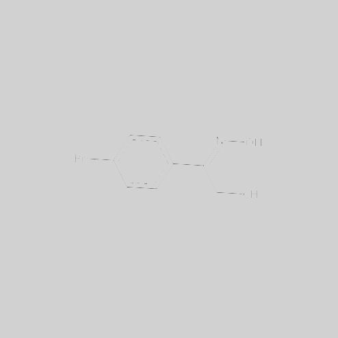 CCC(=NO)c1ccc(Br)cc1